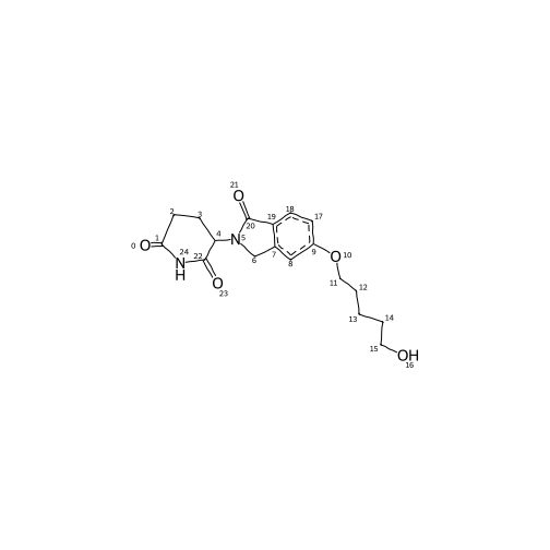 O=C1CCC(N2Cc3cc(OCCCCCO)ccc3C2=O)C(=O)N1